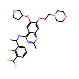 Cc1nc(NC(C)c2cccc(C(F)F)c2F)c2cc(O[C@H]3CCOC3)c(OCCN3CCOCC3)cc2n1